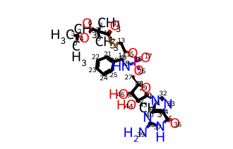 CC(C)(C)OC(=O)C(C)(C)C(=O)SCCOP(=O)(NCc1ccccc1)OC[C@H]1O[C@@H](n2cnc3c(=O)[nH]c(N)nc32)C(C)(O)[C@H]1O